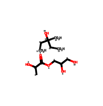 CC(O)C(=O)OCC(O)CO.O=C(O)CC(O)(CC(=O)O)C(=O)O